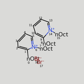 CCCCCCCCc1cccc[n+]1CCCCCCCC.CCCCCCCCc1cccc[n+]1CCCCCCCC.[Br-].[Br-]